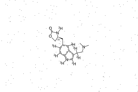 [2H]c1c(C[C@H]2COC(=O)N2[2H])c([2H])c2c(C([2H])([2H])CN(C)C)c([2H])n([2H])c2c1[2H]